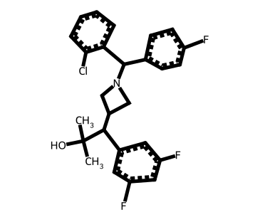 CC(C)(O)C(c1cc(F)cc(F)c1)C1CN(C(c2ccc(F)cc2)c2ccccc2Cl)C1